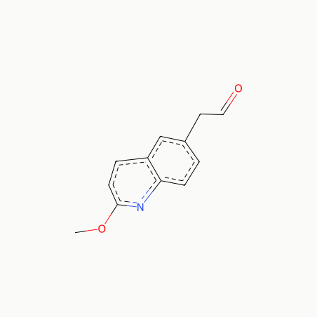 COc1ccc2cc(CC=O)ccc2n1